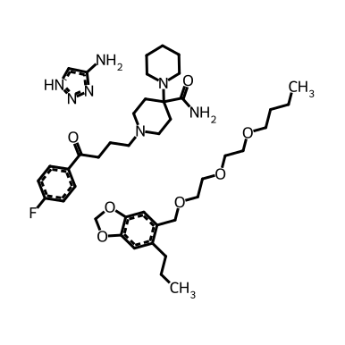 CCCCOCCOCCOCc1cc2c(cc1CCC)OCO2.NC(=O)C1(N2CCCCC2)CCN(CCCC(=O)c2ccc(F)cc2)CC1.Nc1c[nH]nn1